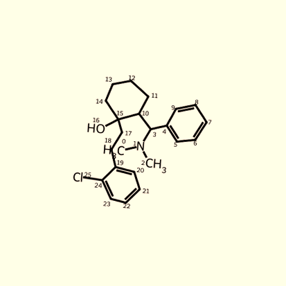 CN(C)C(c1ccccc1)C1CCCCC1(O)CCc1ccccc1Cl